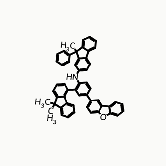 CC1(C)c2ccccc2-c2c(-c3cc(-c4ccc5oc6ccccc6c5c4)ccc3Nc3ccc4c(c3)C(C)(c3ccccc3)c3ccccc3-4)cccc21